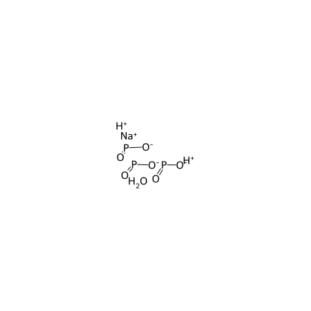 O.O=P[O-].O=P[O-].O=P[O-].[H+].[H+].[Na+]